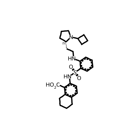 O=C(O)c1c(NS(=O)(=O)c2ccccc2NCC[C@@H]2CCCN2C2CCC2)ccc2c1CCCC2